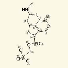 CNC1Cc2c(Br)ccc3c2C(C1)CN3C(=O)OCC(Cl)(Cl)Cl